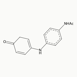 CC(=O)Nc1ccc(NC2=CCC(=O)C=C2)cc1